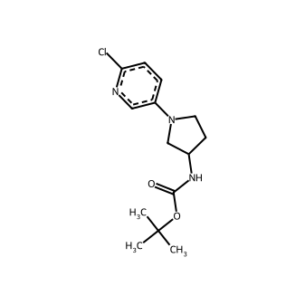 CC(C)(C)OC(=O)NC1CCN(c2ccc(Cl)nc2)C1